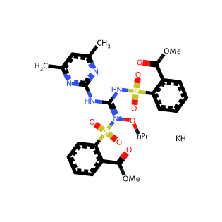 CCCO[N+](=C(Nc1nc(C)cc(C)n1)NS(=O)(=O)c1ccccc1C(=O)OC)S(=O)(=O)c1ccccc1C(=O)OC.[KH]